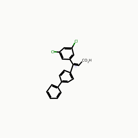 O=C(O)/C=C(/c1ccc(-c2ccccc2)cc1)c1cc(Cl)cc(Cl)c1